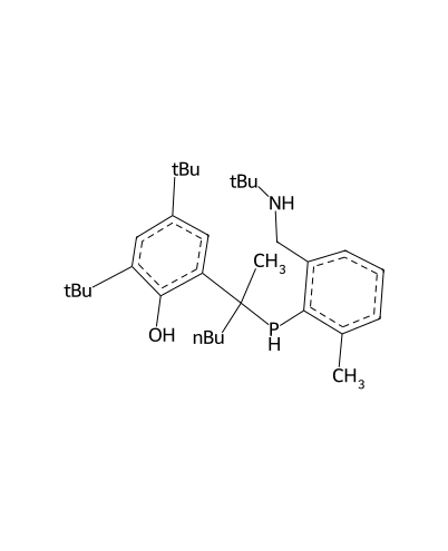 CCCCC(C)(Pc1c(C)cccc1CNC(C)(C)C)c1cc(C(C)(C)C)cc(C(C)(C)C)c1O